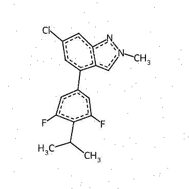 CC(C)c1c(F)cc(-c2cc(Cl)cc3nn(C)cc23)cc1F